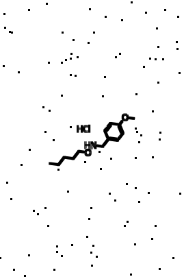 CCCCCONCc1ccc(OC)cc1.Cl